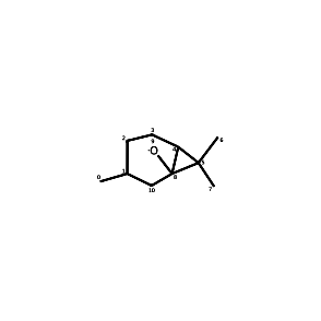 CC1CCC2C(C)(C)C2([O])C1